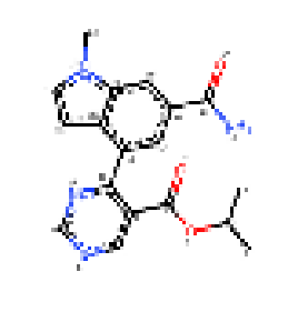 CC(C)OC(=O)c1cncnc1-c1cc(C(N)=O)cc2c1ccn2C